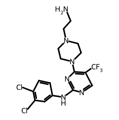 NCCN1CCN(c2nc(Nc3ccc(Cl)c(Cl)c3)ncc2C(F)(F)F)CC1